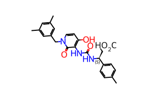 Cc1ccc([C@H](CC(=O)O)NC(=O)Nc2c(O)ccn(Cc3cc(C)cc(C)c3)c2=O)cc1